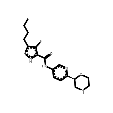 CCCCc1n[nH]c(C(=O)Nc2ccc([C@@H]3CNCCO3)nc2)c1F